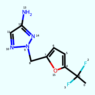 CC(F)(F)c1ccc(Cn2ncc(N)n2)o1